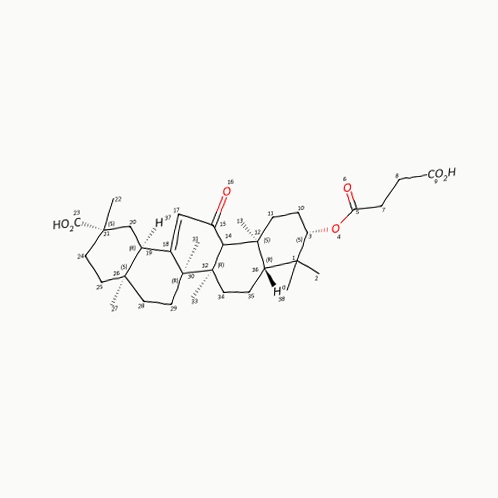 CC1(C)[C@@H](OC(=O)CCC(=O)O)CC[C@]2(C)C3C(=O)C=C4[C@@H]5C[C@@](C)(C(=O)O)CC[C@]5(C)CC[C@]4(C)[C@]3(C)CC[C@@H]12